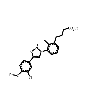 CCOC(=O)CCCc1cccc(N2C=C(c3ccc(OC(C)C)c(Cl)c3)ON2)c1C